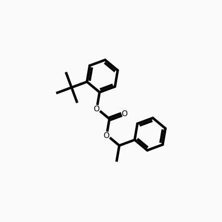 CC(OC(=O)Oc1ccccc1C(C)(C)C)c1ccccc1